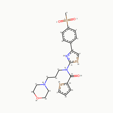 CS(=O)(=O)c1ccc(-c2csc(N(CCCN3CCOCC3)C(=O)c3cccs3)n2)cc1